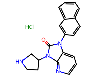 Cl.O=c1n(-c2ccc3ccccc3c2)c2cccnc2n1C1CCNC1